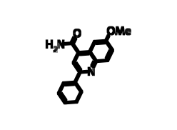 COc1ccc2nc(C3=CC=CCC3)cc(C(N)=O)c2c1